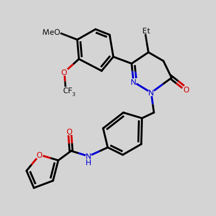 CCC1CC(=O)N(Cc2ccc(NC(=O)c3ccco3)cc2)N=C1c1ccc(OC)c(OC(F)(F)F)c1